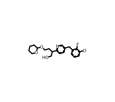 OCC(CCOC1CCCCO1)c1ccc(Cc2cccc(Cl)c2F)cn1